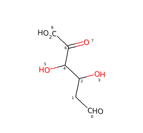 O=CCC(O)C(O)C(=O)C(=O)O